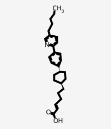 CCCCCc1ccc(-c2ccc([C@H]3CC[C@H](CCC/C=C/C(=O)O)CC3)cc2)nc1